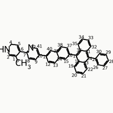 CC1=CNCC=C1c1ccc(-c2ccc3cc(-c4c5ccccc5c(-c5ccccc5)c5ccccc45)ccc3c2)cn1